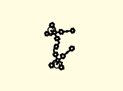 O=C1C(Cc2ccccc2)=C(c2ccc(C#Cc3ccccc3)cc2)C(c2ccc(Cc3ccc(Cc4ccc(C5=C(Cc6ccccc6)C(=O)C(Cc6ccccc6)=C5c5ccc(C#Cc6ccccc6)cc5)cc4)cc3)cc2)=C1Cc1ccccc1